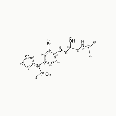 CC(=O)N(c1ccsc1)c1ccc(OCC(O)CNC(C)C)c(Br)c1